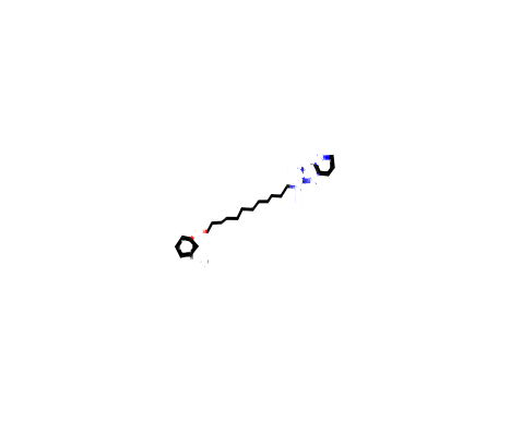 COc1cccc(OCCCCCCCCCCCCN/C(=N/c2cccnc2)NC#N)c1